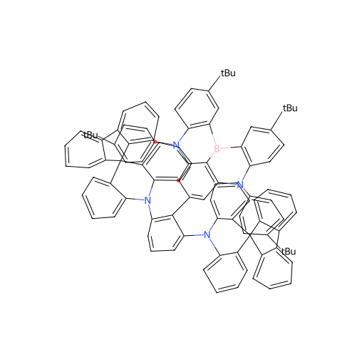 CC(C)(C)c1ccc(N2c3ccc(C(C)(C)C)cc3B3c4cc(C(C)(C)C)ccc4N(c4ccc(C(C)(C)C)cc4)c4cc(-c5c(N6c7ccccc7C7(c8ccccc8-c8ccccc87)c7ccccc76)cccc5N5c6ccccc6C6(c7ccccc7-c7ccccc76)c6ccccc65)cc2c43)cc1